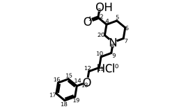 Cl.O=C(O)C1CCCN(CCCCOc2ccccc2)C1